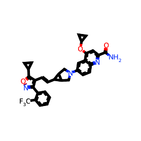 NC(=O)c1cc(OC2CC2)c2cc(N3CC4C(C=Cc5c(-c6ccccc6C(F)(F)F)noc5C5CC5)C4C3)ccc2n1